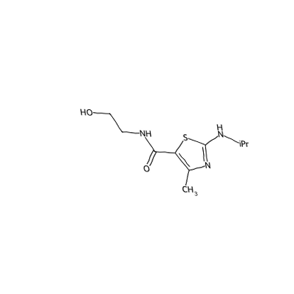 Cc1nc(NC(C)C)sc1C(=O)NCCO